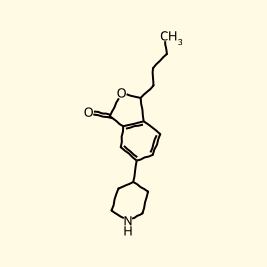 CCCCC1OC(=O)c2cc(C3CCNCC3)ccc21